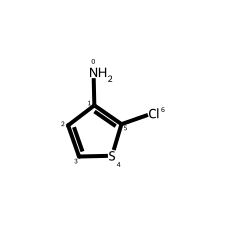 Nc1ccsc1Cl